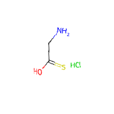 Cl.NCC(O)=S